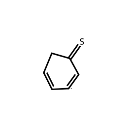 S=C1C=[C]C=CC1